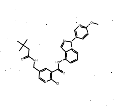 COc1ccc(-n2ncc3c(NC(=O)c4cc(CNC(=O)CC(C)(C)C)ccc4Cl)cccc32)cn1